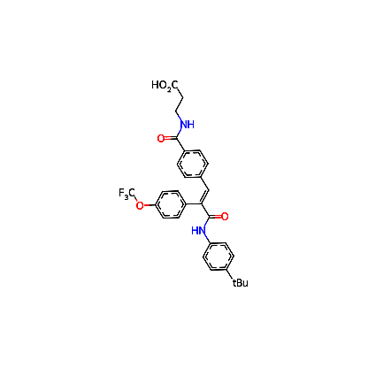 CC(C)(C)c1ccc(NC(=O)/C(=C/c2ccc(C(=O)NCCC(=O)O)cc2)c2ccc(OC(F)(F)F)cc2)cc1